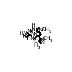 C[C@H](Nc1nc(N)nc2[nH]ncc12)c1nc2ccn(C)c2cc1-c1ccnn1C